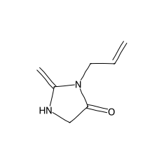 C=CCN1C(=C)NCC1=O